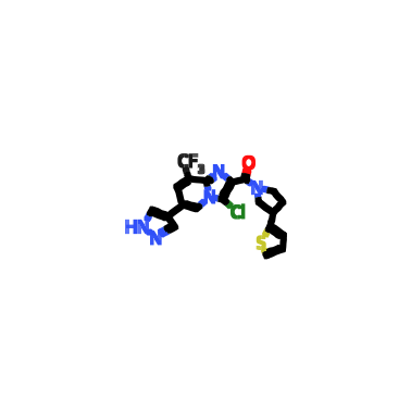 O=C(c1nc2c(C(F)(F)F)cc(-c3cn[nH]c3)cn2c1Cl)N1CCC(c2cccs2)C1